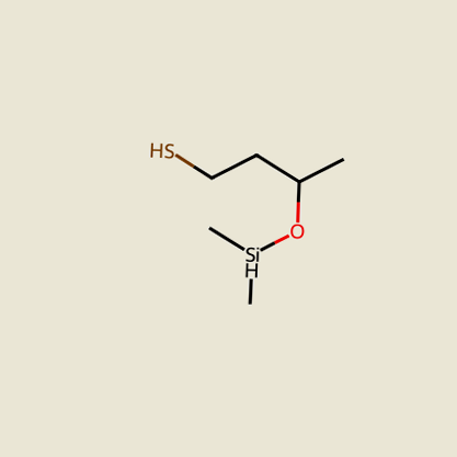 CC(CCS)O[SiH](C)C